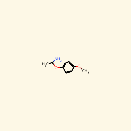 COc1ccc(OC(C)N)cc1